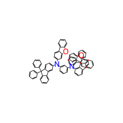 c1ccc(C2(c3ccccc3)c3ccccc3-c3cc(N(c4cccc(N(c5cccc6c5C(c5ccccc5)(c5ccccc5)c5ccccc5-6)c5cccc6oc7ccccc7c56)c4)c4ccc5c(c4)oc4ccccc45)ccc32)cc1